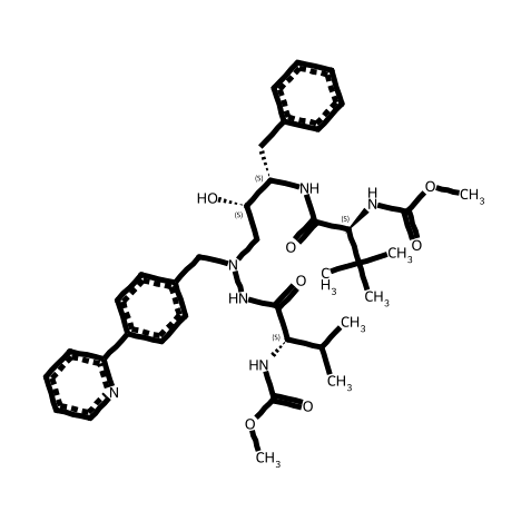 COC(=O)N[C@H](C(=O)NN(Cc1ccc(-c2ccccn2)cc1)C[C@H](O)[C@H](Cc1ccccc1)NC(=O)[C@@H](NC(=O)OC)C(C)(C)C)C(C)C